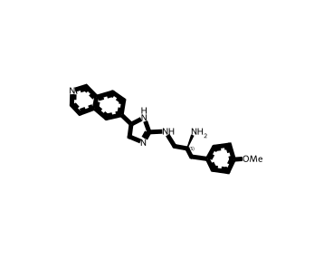 COc1ccc(C[C@H](N)CNC2=NCC(c3ccc4cnccc4c3)N2)cc1